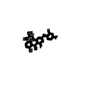 CC(O)CNc1cc(Oc2ccc(F)cc2F)nc(F)c1C(=O)c1ccccc1Cl